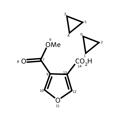 C1CC1.C1CC1.COC(=O)c1cocc1C(=O)O